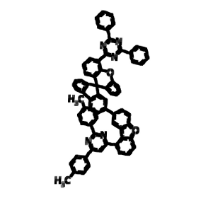 Cc1ccc(-c2cc(-c3cccc4oc5ccc(-c6ccc7c(c6)C6(c8ccccc8Oc8c(-c9nc(-c%10ccccc%10)nc(-c%10ccccc%10)n9)cccc86)c6ccccc6-7)cc5c34)nc(-c3ccc(C)cc3)n2)cc1